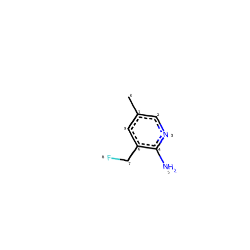 Cc1cnc(N)c(CF)c1